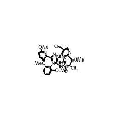 COc1cccc(-c2nnc(NS(=O)(=O)[C@H](C)[C@@H](OC)c3ncc(Cl)cn3)n2-c2c(OC)cccc2OC)n1